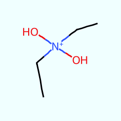 CC[N+](O)(O)CC